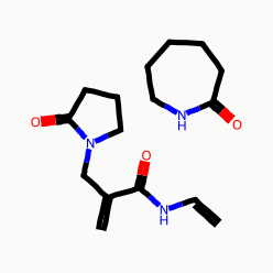 C=CNC(=O)C(=C)CN1CCCC1=O.O=C1CCCCCN1